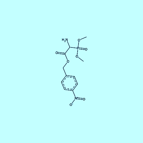 COP(=O)(OC)C(N)C(=O)OCc1ccc([N+](=O)[O-])cc1